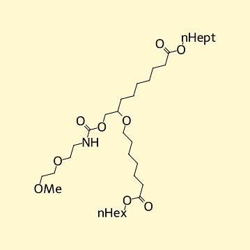 CCCCCCCOC(=O)CCCCCCC(COC(=O)NCCOCCOC)OCCCCCCC(=O)OCCCCCC